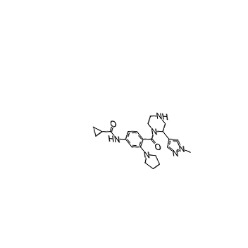 Cn1cc(C2CNCCN2C(=O)c2ccc(NC(=O)C3CC3)cc2N2CCCC2)cn1